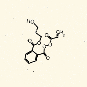 C=CC(=O)OOC(=O)c1ccccc1C(=O)OCCCO